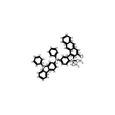 C[Si]1(C)c2ccc(N(c3ccccc3)c3ccc4c5ccccc5n(-c5ccccc5)c4c3)cc2-c2c1c(Cl)cc1cc3ccccc3cc21